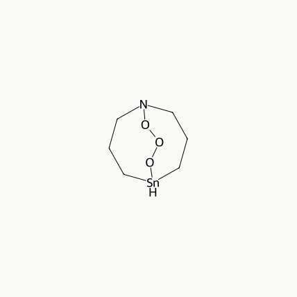 C1CN2CC[CH2][SnH]([CH2]1)[O]OO2